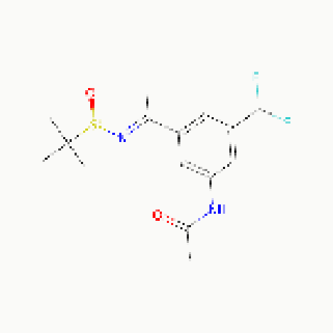 CC(=O)Nc1cc(C(C)=N[S@+]([O-])C(C)(C)C)cc(C(F)F)c1